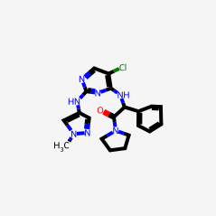 Cn1cc(Nc2ncc(Cl)c(NC(C(=O)N3CCCC3)c3ccccc3)n2)cn1